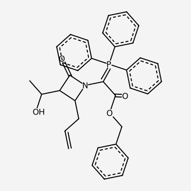 C=CCC1C(C(C)O)C(=O)N1C(C(=O)OCc1ccccc1)=P(c1ccccc1)(c1ccccc1)c1ccccc1